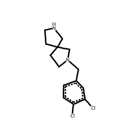 Clc1ccc(CN2CCC3(CCNC3)C2)cc1Cl